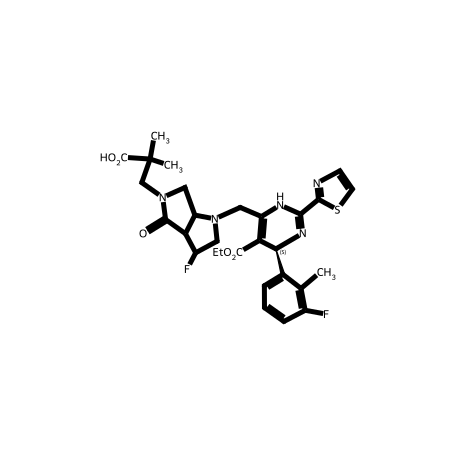 CCOC(=O)C1=C(CN2CC(F)C3C(=O)N(CC(C)(C)C(=O)O)CC32)NC(c2nccs2)=N[C@H]1c1cccc(F)c1C